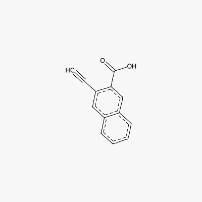 C#Cc1cc2ccccc2cc1C(=O)O